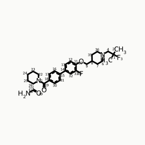 CC(C)(F)CN1CCC(COc2ccc(-c3ccc(C(=O)N4CCCC[C@H]4C(N)=O)cc3)cc2F)CC1